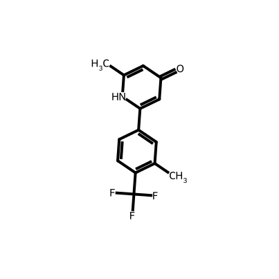 Cc1cc(=O)cc(-c2ccc(C(F)(F)F)c(C)c2)[nH]1